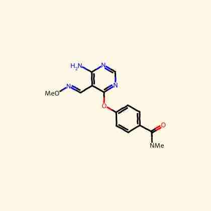 CNC(=O)c1ccc(Oc2ncnc(N)c2/C=N/OC)cc1